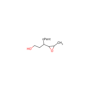 CCCCCC(CCO)C1OC1C